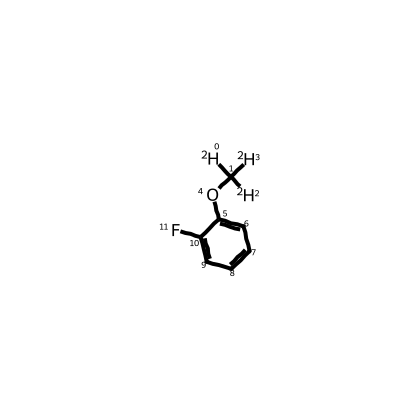 [2H]C([2H])([2H])Oc1ccccc1F